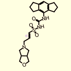 O=C(Nc1c2c(cc3c1CCC3)CCC2)NS(=O)(=O)/C=C/CN1CC2COCC2C1